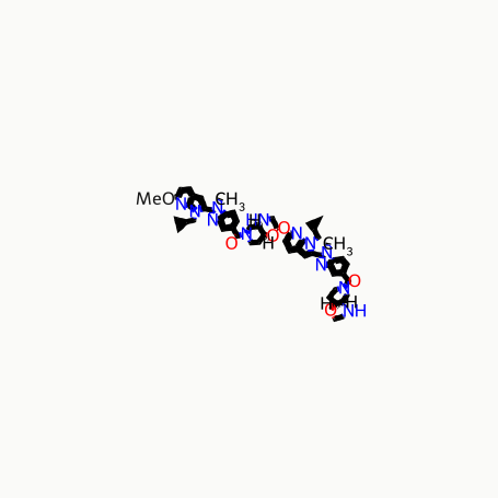 COc1ccc2cc(-c3nc4cc(C(=O)N5CC[C@@H]6OC(Oc7ccc8cc(-c9nc%10cc(C(=O)N%11CC[C@H]%12OCCN[C@H]%12C%11)ccc%10n9C)n(CC9CC9)c8n7)CN[C@@H]6C5)ccc4n3C)n(CC3CC3)c2n1